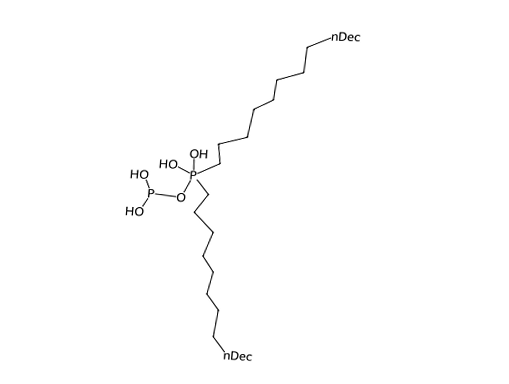 CCCCCCCCCCCCCCCCCCP(O)(O)(CCCCCCCCCCCCCCCCCC)OP(O)O